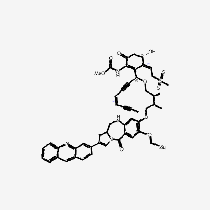 CC#C/C=C\C#C[C@H](OCC(C)C(C)COc1cc2c(cc1OCC(C)CC)C(=O)N1C=C(c3ccc4cc5ccccc5nc4c3)CC1CN2)C1=C(NC(=O)OC)C(=O)C[C@H](O)/C1=C/CS(C)(=S)=S